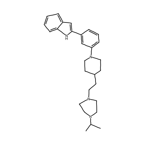 CC(C)N1CCN(CCC2CCN(c3cccc(-c4cc5ccccc5[nH]4)c3)CC2)CC1